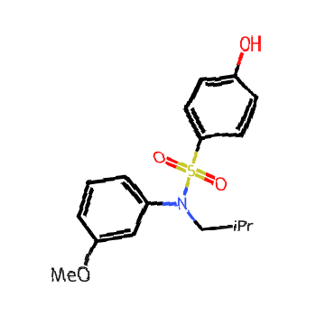 COc1cccc(N(CC(C)C)S(=O)(=O)c2ccc(O)cc2)c1